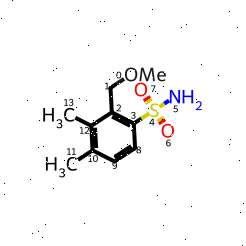 COCc1c(S(N)(=O)=O)ccc(C)c1C